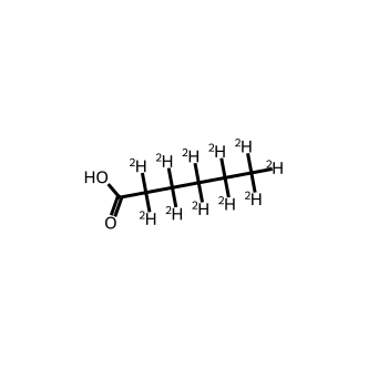 [2H]C([2H])([2H])C([2H])([2H])C([2H])([2H])C([2H])([2H])C([2H])([2H])C(=O)O